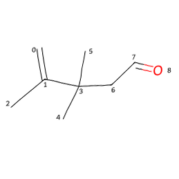 C=C(C)C(C)(C)CC=O